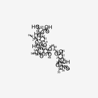 C#CCNC(=O)c1cc(COC(=O)N2c3cc(OCCCCCOc4cc(N(C=O)C(O)C5CC(C)=CN5C=O)c(C)cc4OC)c(OC)cc3C(=O)N3C=C(C)CC3C2O)ccc1O[C@H]1CC(O)CC(C(=O)O)O1